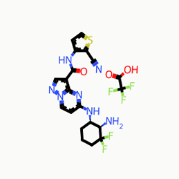 N#Cc1sccc1NC(=O)c1cnn2ccc(N[C@@H]3CCCC(F)(F)[C@@H]3N)nc12.O=C(O)C(F)(F)F